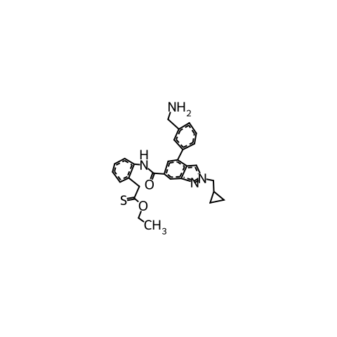 CCOC(=S)Cc1ccccc1NC(=O)c1cc(-c2cccc(CN)c2)c2cn(CC3CC3)nc2c1